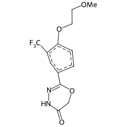 COCCOc1ccc(C2=NNC(=O)CO2)cc1C(F)(F)F